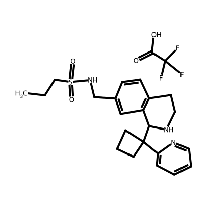 CCCS(=O)(=O)NCc1ccc2c(c1)C(C1(c3ccccn3)CCC1)NCC2.O=C(O)C(F)(F)F